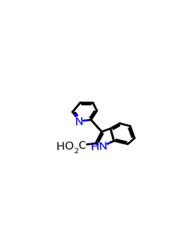 O=C(O)c1[nH]c2ccccc2c1-c1ccccn1